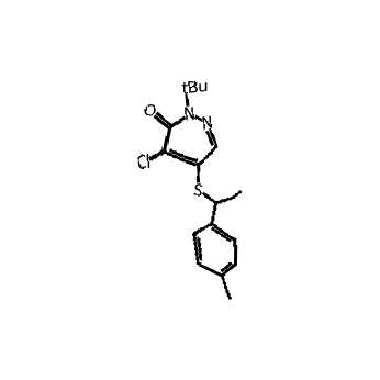 Cc1ccc(C(C)Sc2cnn(C(C)(C)C)c(=O)c2Cl)cc1